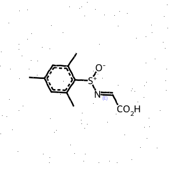 Cc1cc(C)c([S+]([O-])/N=C/C(=O)O)c(C)c1